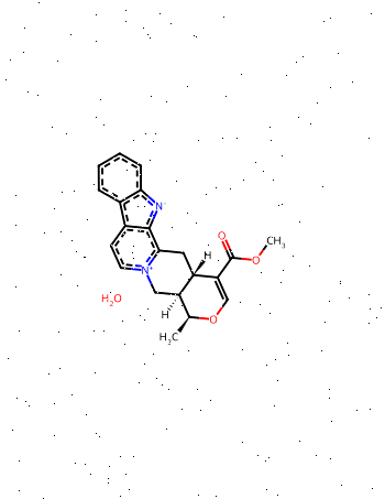 COC(=O)C1=CO[C@@H](C)[C@H]2C[n+]3ccc4c([n-]c5ccccc54)c3C[C@H]12.O